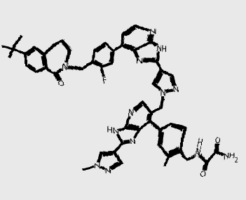 Cc1cc(-c2c(Cn3cc(-c4nc5c(-c6ccc(CN7CCc8cc(C(C)(C)C)ccc8C7=O)c(F)c6)ccnc5[nH]4)cn3)cnc3[nH]c(-c4cnn(C)c4)nc23)ccc1CNC(=O)C(N)=O